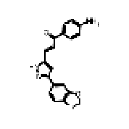 Nc1ccc(C(=O)C=Cc2cc(-c3ccc4c(c3)OCO4)n[nH]2)cc1